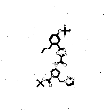 CCCc1ccc(OC(F)(F)F)cc1-c1nnc(C(=O)N[C@@H]2C[C@@H](Cn3ccnn3)N(C(=O)OC(C)(C)C)C2)o1